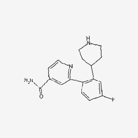 NC(=O)c1ccnc(-c2ccc(F)cc2C2CCNCC2)c1